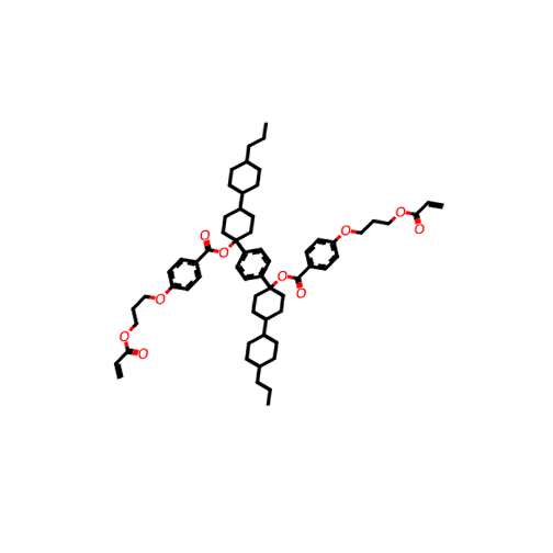 C=CC(=O)OCCCOc1ccc(C(=O)OC2(c3ccc(C4(OC(=O)c5ccc(OCCCOC(=O)C=C)cc5)CCC(C5CCC(CCC)CC5)CC4)cc3)CCC(C3CCC(CCC)CC3)CC2)cc1